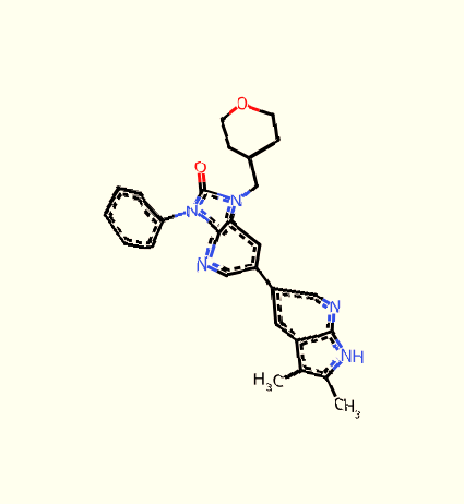 Cc1[nH]c2ncc(-c3cnc4c(c3)n(CC3CCOCC3)c(=O)n4-c3ccccc3)cc2c1C